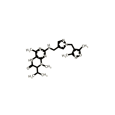 Cc1noc(C)c1Cn1cc(CNc2nc(C)c3c(n2)N(C)C(C(C)C)C(=O)N3)cn1